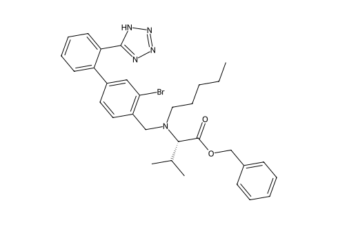 CCCCCN(Cc1ccc(-c2ccccc2-c2nnn[nH]2)cc1Br)[C@H](C(=O)OCc1ccccc1)C(C)C